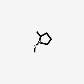 C[N]N1CCCC1C